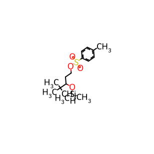 Cc1ccc(S(=O)(=O)OCCC(O[SiH](C)C)C(C)(C)C)cc1